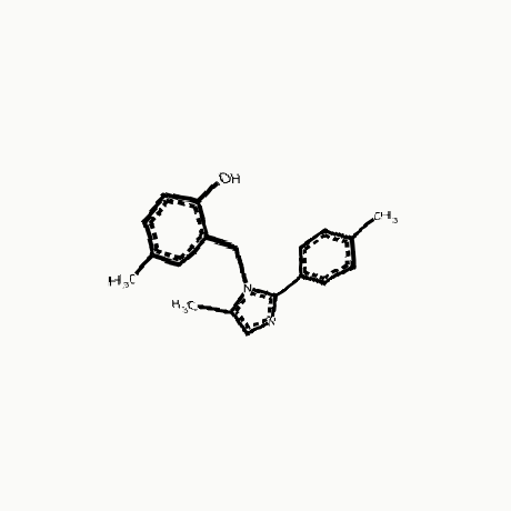 Cc1ccc(-c2ncc(C)n2Cc2cc(C)ccc2O)cc1